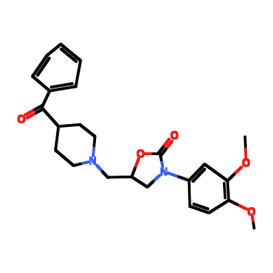 COc1ccc(N2CC(CN3CCC(C(=O)c4ccccc4)CC3)OC2=O)cc1OC